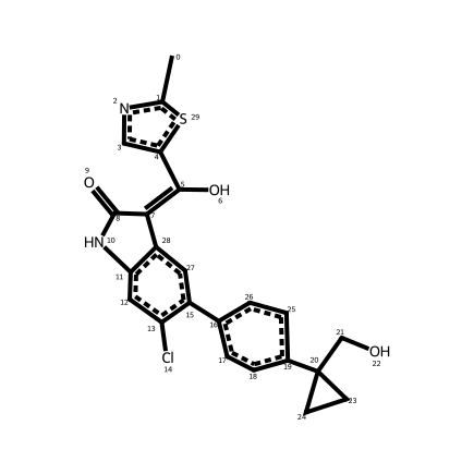 Cc1ncc(C(O)=C2C(=O)Nc3cc(Cl)c(-c4ccc(C5(CO)CC5)cc4)cc32)s1